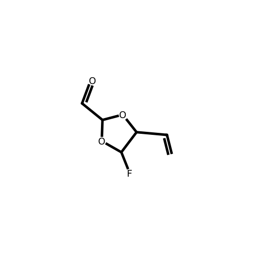 C=CC1OC(C=O)OC1F